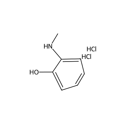 CNc1ccccc1O.Cl.Cl